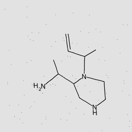 C=CC(C)N1CCNCC1C(C)N